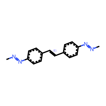 CN=Nc1ccc(/C=C/c2ccc(N=NC)cc2)cc1